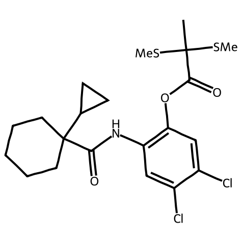 CSC(C)(SC)C(=O)Oc1cc(Cl)c(Cl)cc1NC(=O)C1(C2CC2)CCCCC1